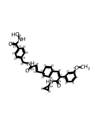 COc1cccc(C(=Cc2ccc(C=CC(=O)NCc3ccc(C(=O)NO)cc3)cc2)C(=O)NC2CC2)c1